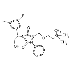 C[Si](C)(C)CCOCn1c(=O)n(C(CO)c2cc(F)cc(F)c2)c(=O)n1-c1ccccc1